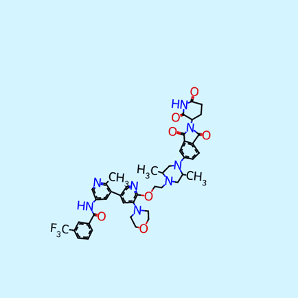 Cc1ncc(NC(=O)c2cccc(C(F)(F)F)c2)cc1-c1cnc(OCCN2CC(C)N(c3ccc4c(c3)C(=O)N(C3CCC(=O)NC3=O)C4=O)CC2C)c(N2CCOCC2)c1